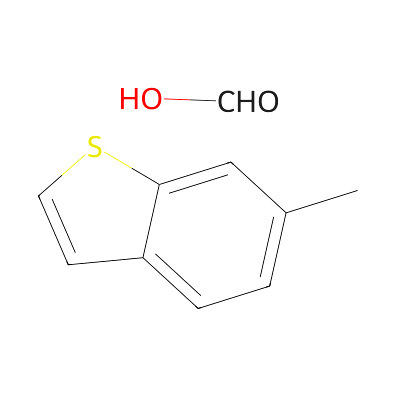 Cc1ccc2ccsc2c1.O=CO